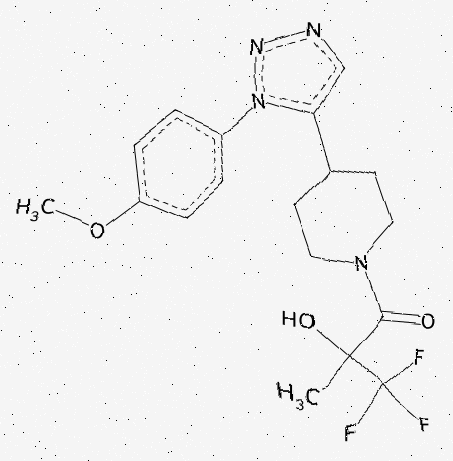 COc1ccc(-n2nncc2C2CCN(C(=O)C(C)(O)C(F)(F)F)CC2)cc1